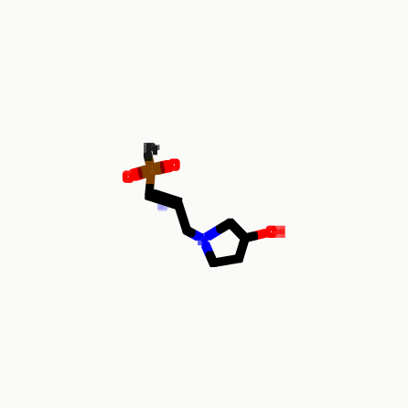 CC(C)S(=O)(=O)/C=C/CN1CCC(O)C1